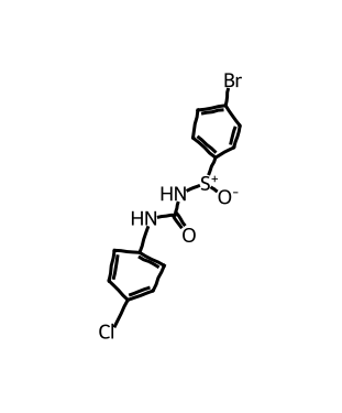 O=C(Nc1ccc(Cl)cc1)N[S+]([O-])c1ccc(Br)cc1